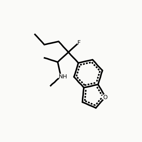 CCCC(F)(c1ccc2occc2c1)C(C)NC